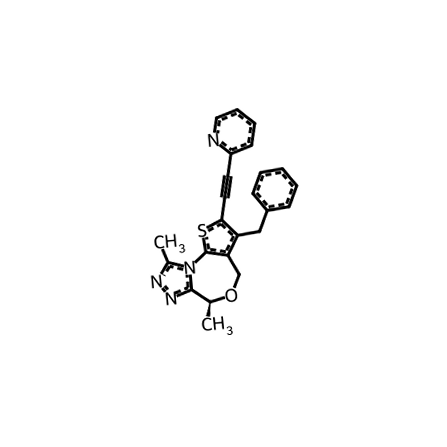 Cc1nnc2n1-c1sc(C#Cc3ccccn3)c(Cc3ccccc3)c1CO[C@H]2C